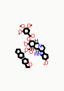 C1=Cc2ccccc2C1.COC(=O)[C@H]1[C@H]2C[C@@H]3c4[nH]c5cc(OC)ccc5c4CCN3C[C@H]2C[C@@H](OC(=O)c2cc(OC)c(OC)c(OC)c2)[C@@H]1OC.c1ccc2occc2c1